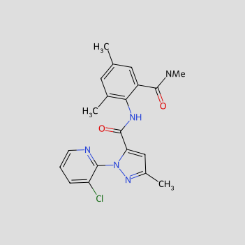 CNC(=O)c1cc(C)cc(C)c1NC(=O)c1cc(C)nn1-c1ncccc1Cl